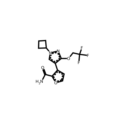 NC(=O)c1occc1-c1cn(C2CCC2)nc1OCC(F)(F)F